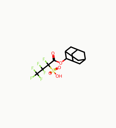 O=C(OC1C2CC3CC(C2)CC1C3)C(F)(C(F)(F)C(F)(F)F)S(=O)(=O)O